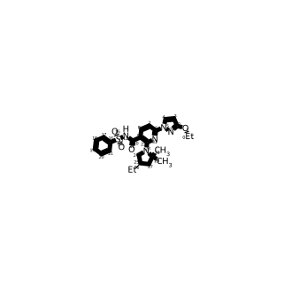 CCOc1ccn(-c2ccc(C(=O)NS(=O)(=O)c3ccccc3)c(N3C[C@@H](CC)CC3(C)C)n2)n1